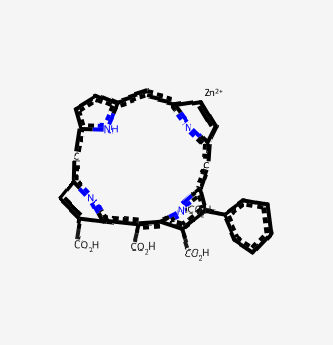 O=C(O)C1=Cc2cc3ccc(cc4nc(cc5c(-c6ccccc6)c(C(=O)O)c(c(C(=O)O)c1n2)n5C(=O)O)C=C4)[nH]3.[Zn+2]